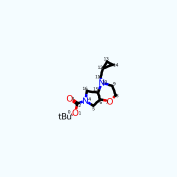 CC(C)(C)OC(=O)N1CC2OCCN(CC3CC3)C2C1